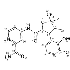 COc1c(C2C(C(=O)Nc3ccnc(C(N)=O)c3)OC(C)(C(F)(F)F)C2C)cccc1C(F)(F)F